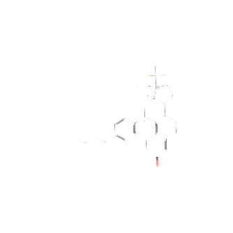 C[C@]12C[C@H](c3ccc(COCC(=O)O)cc3)C3=C4CCC(=O)C=C4CCC3C1CC[C@@]2(O)C(F)(F)C(F)(F)F